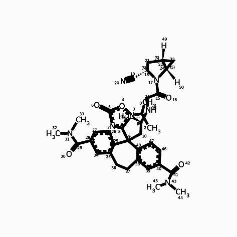 CC(C)n1oc(=O)nc1C1(C[C@@H](C)NCC(=O)N2[C@H](C#N)C[C@@H]3C[C@@H]32)c2ccc(C(=O)N(C)C)cc2CCc2cc(C(=O)N(C)C)ccc21